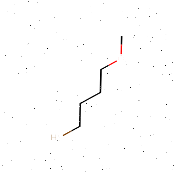 [CH2]OCCCCS